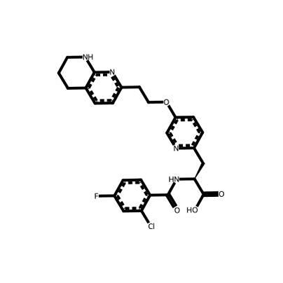 O=C(N[C@@H](Cc1ccc(OCCc2ccc3c(n2)NCCC3)cn1)C(=O)O)c1ccc(F)cc1Cl